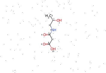 [CH2]C(O)CNC(=O)CC(=O)O